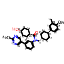 COc1ncc(-c2cccc(N(C[C@H]3CC[C@H](c4ccc(OC)c(C)c4)CC3)C(=O)[C@H]3CC[C@H](O)CC3)c2)cn1